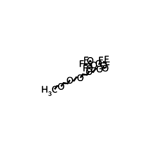 CCOCCOCCOCCOCC(OS(=O)(=O)C(F)(F)F)OS(=O)(=O)C(F)(F)F